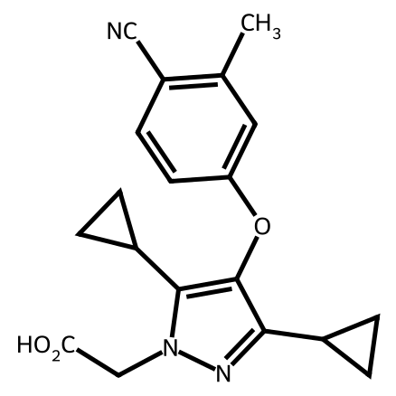 Cc1cc(Oc2c(C3CC3)nn(CC(=O)O)c2C2CC2)ccc1C#N